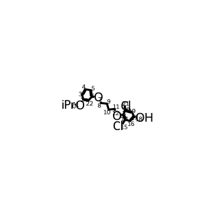 CC(C)Oc1cccc(OCCCCOc2c(Cl)cc(O)cc2Cl)c1